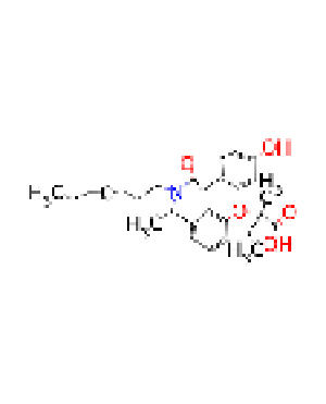 CCCCCCCN(C(=O)Cc1ccc(O)cc1)C(C)c1cccc(OC(C)(CC)C(=O)O)c1